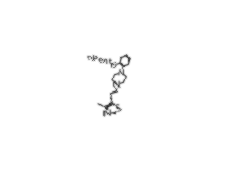 CCCCCOc1ccccc1N1CCN(CCc2scnc2C)CC1